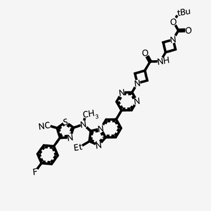 CCc1nc2ccc(-c3cnc(N4CC(C(=O)NC5CN(C(=O)OC(C)(C)C)C5)C4)nc3)cn2c1N(C)c1nc(-c2ccc(F)cc2)c(C#N)s1